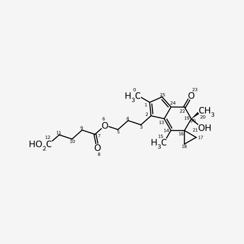 CC1=C(CCCOC(=O)CCCC(=O)O)C2=C(C)C3(CC3)[C@@](C)(O)C(=O)C2=C1